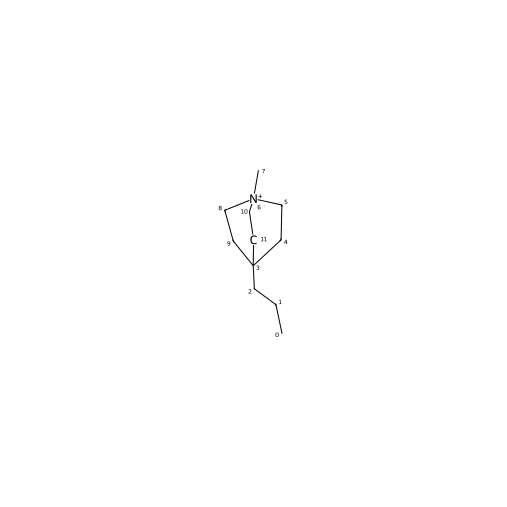 CCCC12CC[N+](C)(CC1)CC2